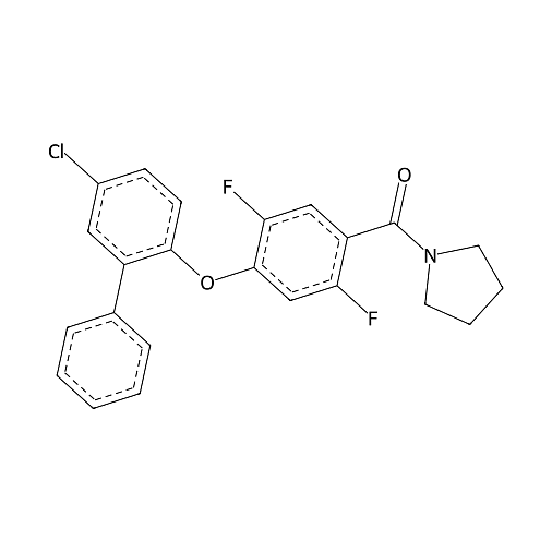 O=C(c1cc(F)c(Oc2ccc(Cl)cc2-c2ccccc2)cc1F)N1CCCC1